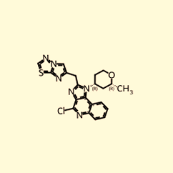 C[C@@H]1C[C@H](n2c(Cc3cn4ncsc4n3)nc3c(Cl)nc4ccccc4c32)CCO1